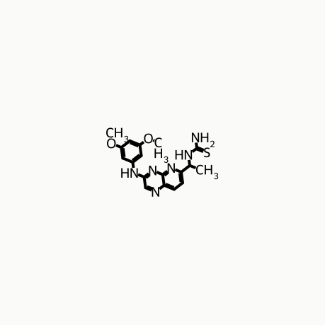 COc1cc(Nc2cnc3ccc(C(C)NC(N)=S)nc3n2)cc(OC)c1